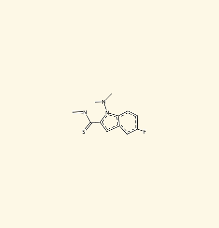 C=NC(=S)c1cc2cc(F)ccc2n1N(C)C